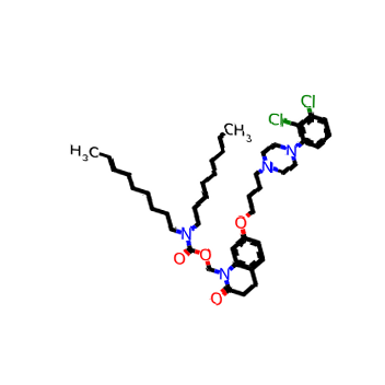 CCCCCCCCCN(CCCCCCCCC)C(=O)OCN1C(=O)CCc2ccc(OCCCCN3CCN(c4cccc(Cl)c4Cl)CC3)cc21